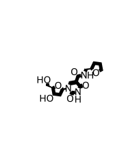 O=C(NC[C@H]1CCCO1)c1cn([C@H]2C[C@@H](O)[C@@H](CO)O2)c(=O)[nH]c1=O